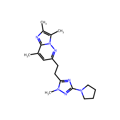 Cc1nc2c(C)cc(CCc3nc(N4CCCC4)nn3C)nn2c1C